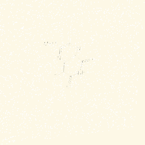 COc1cnc2c(n1)C(F)C(=O)NC2=O